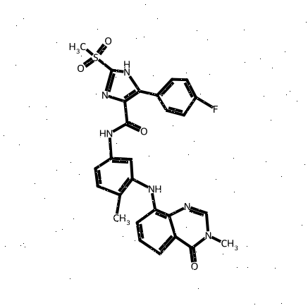 Cc1ccc(NC(=O)c2nc(S(C)(=O)=O)[nH]c2-c2ccc(F)cc2)cc1Nc1cccc2c(=O)n(C)cnc12